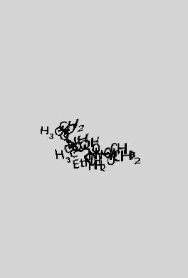 C=C(C)C(=O)OCCNC(=O)NC(CC(N)CC)CC(O)CC(C)OC(=O)NCCOC(=O)C(=C)C